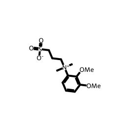 COc1cccc([N+](C)(C)CCCS(=O)(=O)[O-])c1OC